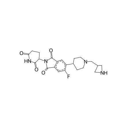 O=C1CCC(N2C(=O)c3cc(F)c(C4CCN(CC5CNC5)CC4)cc3C2=O)C(=O)N1